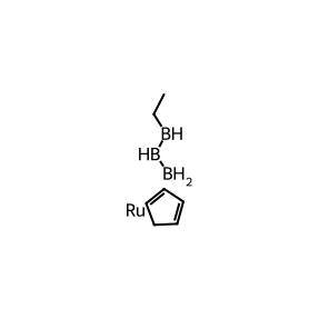 BBBCC.C1=CCC=C1.[Ru]